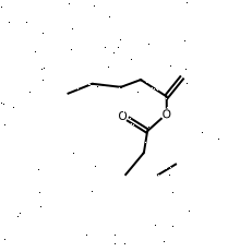 C=C(CCCC)OC(=O)CC.CC